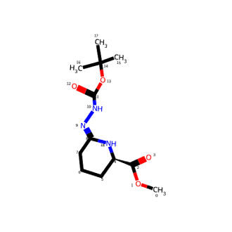 COC(=O)[C@H]1CCCC(=NNC(=O)OC(C)(C)C)N1